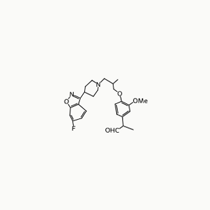 COc1cc(C(C)C=O)ccc1OCC(C)CN1CCC(c2noc3cc(F)ccc23)CC1